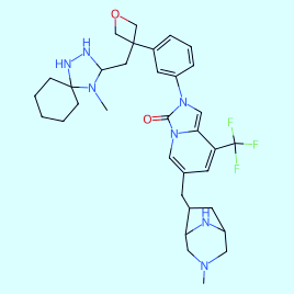 CN1CC2CC(Cc3cc(C(F)(F)F)c4cn(-c5cccc(C6(CC7NNC8(CCCCC8)N7C)COC6)c5)c(=O)n4c3)C(C1)N2